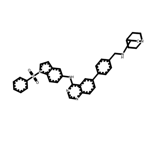 O=S(=O)(c1ccccc1)n1ccc2cc(Nc3ncnc4ccc(-c5ccc(CNC6CN7CCC6CC7)cc5)cc34)ccc21